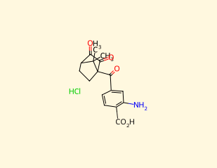 CC1(C)C2CCC1(C(=O)c1ccc(C(=O)O)c(N)c1)C(=O)C2=O.Cl